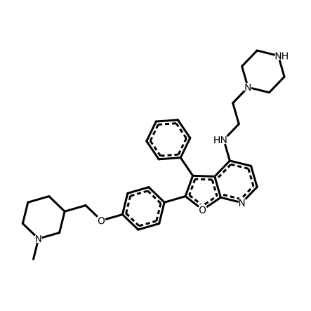 CN1CCCC(COc2ccc(-c3oc4nccc(NCCN5CCNCC5)c4c3-c3ccccc3)cc2)C1